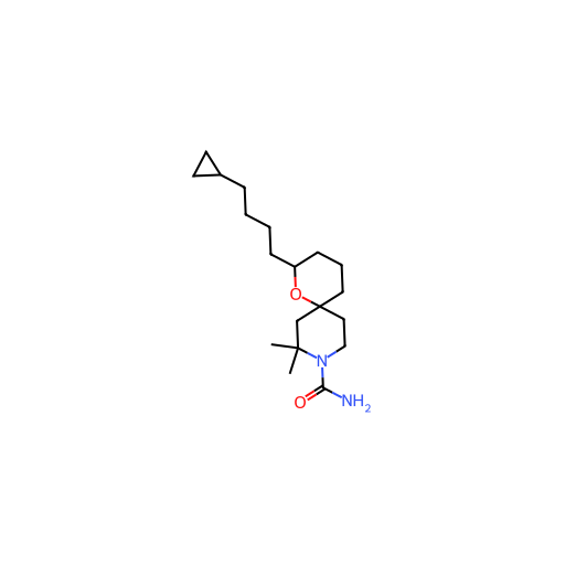 CC1(C)CC2(CCCC(CCCCC3CC3)O2)CCN1C(N)=O